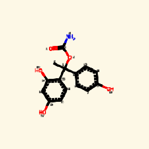 CC(OC(N)=O)(c1ccc(O)cc1)c1ccc(O)cc1O